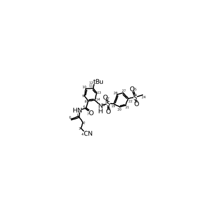 C=C(CCC#N)NC(=O)c1ccc(C(C)(C)C)cc1NS(=O)(=O)c1ccc(S(C)(=O)=O)cc1